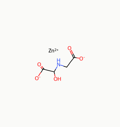 O=C([O-])CNC(O)C(=O)[O-].[Zn+2]